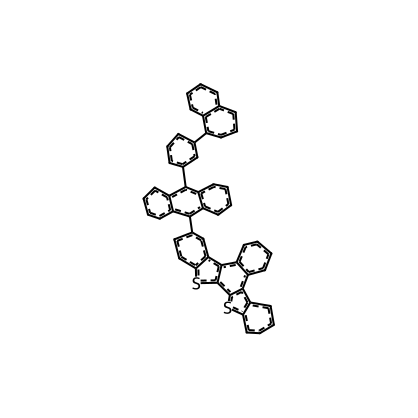 c1cc(-c2cccc3ccccc23)cc(-c2c3ccccc3c(-c3ccc4sc5c6sc7ccccc7c6c6ccccc6c5c4c3)c3ccccc23)c1